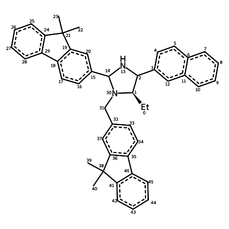 CC[C@@H]1C(c2ccc3ccccc3c2)NC(c2ccc3c(c2)C(C)(C)c2ccccc2-3)N1Cc1ccc2c(c1)C(C)(C)c1ccccc1-2